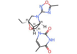 CC[C@@]12CN(c3noc(C)n3)[C@@H]([C@H](n3cc(C)c(=O)[nH]c3=O)O1)[C@@H]2C